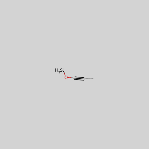 CC#CO[SiH3]